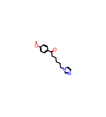 COc1ccc(C(=O)CCCCCn2ccnc2)cc1